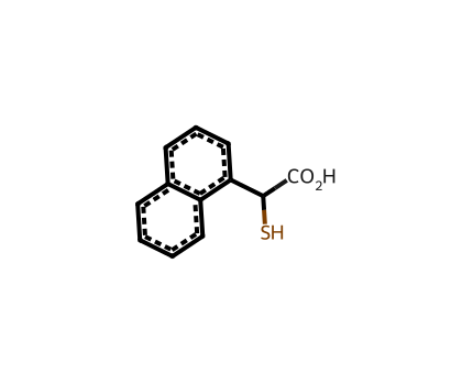 O=C(O)C(S)c1cccc2ccccc12